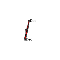 CCCCCCCCCCCCCCCCCCCCCCCCCCCCCCCCOC(=O)CCCCCCCCCCCCCCCCCCCCCCCCCCCCCC